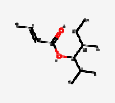 C/C=C/C(=O)OC(C(C)C)C(C)CC